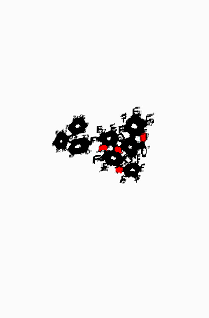 O=C([O-])c1cc(Oc2c(F)c(F)c(F)c(F)c2F)c(Oc2c(F)c(F)c(F)c(F)c2F)c(Oc2c(F)c(F)c(F)c(F)c2F)c1-c1c(F)c(F)c(F)c(F)c1F.c1ccc([C+](c2ccccc2)c2ccccc2)cc1